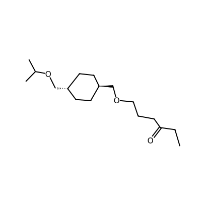 CCC(=O)CCCOC[C@H]1CC[C@H](COC(C)C)CC1